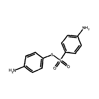 Nc1ccc(SS(=O)(=O)c2ccc(N)cc2)cc1